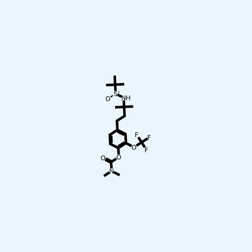 CN(C)C(=O)Oc1ccc(CCC(C)(C)N[S@+]([O-])C(C)(C)C)cc1OC(F)(F)F